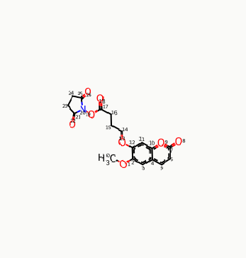 COc1cc2ccc(=O)oc2cc1OCCCC(=O)ON1C(=O)CCC1=O